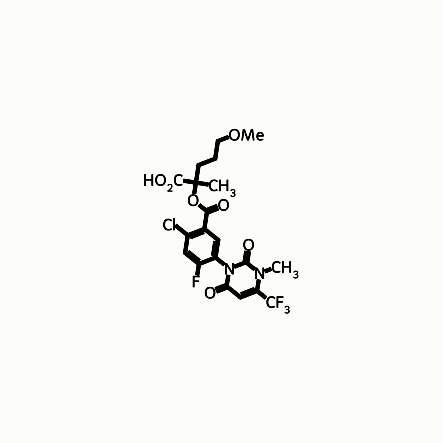 COCCCC(C)(OC(=O)c1cc(-n2c(=O)cc(C(F)(F)F)n(C)c2=O)c(F)cc1Cl)C(=O)O